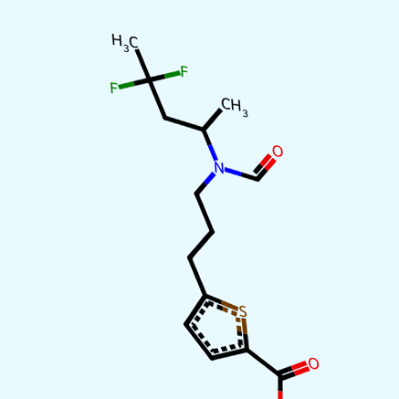 CC(CC(C)(F)F)N(C=O)CCCc1ccc(C(=O)O)s1